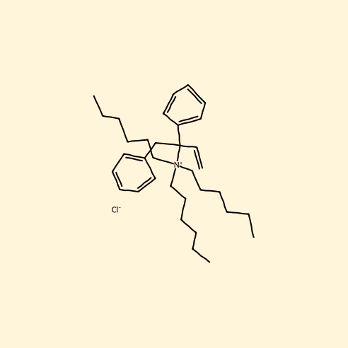 C=CC(Cc1ccccc1)(c1ccccc1)[N+](CCCCCC)(CCCCCC)CCCCCC.[Cl-]